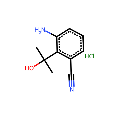 CC(C)(O)c1c(N)cccc1C#N.Cl